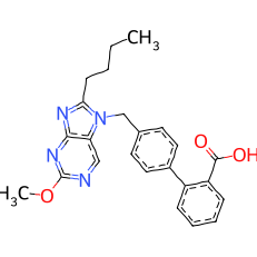 CCCCc1nc2nc(OC)ncc2n1Cc1ccc(-c2ccccc2C(=O)O)cc1